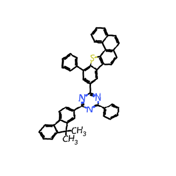 CC1(C)c2ccccc2-c2ccc(-c3nc(-c4ccccc4)nc(-c4cc(-c5ccccc5)c5sc6c(ccc7ccc8ccccc8c76)c5c4)n3)cc21